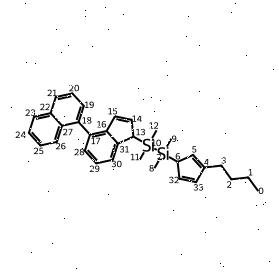 CCCCC1=CC([Si](C)(C)[Si](C)(C)C2C=Cc3c(-c4cccc5ccccc45)cccc32)C=C1